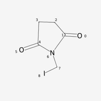 O=C1CCC(=O)N1CI